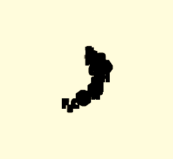 Cn1cnc(S(=O)(=O)N2CCC[C@H]2C(=O)NCc2cc(-c3ccc(C(F)(F)F)cc3)ncn2)c1